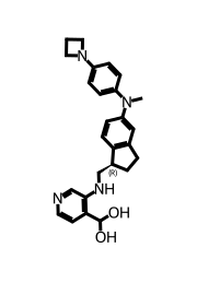 CN(c1ccc(N2CCC2)cc1)c1ccc2c(c1)CC[C@H]2CNc1cnccc1C(O)O